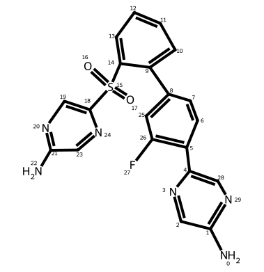 Nc1cnc(-c2ccc(-c3ccccc3S(=O)(=O)c3cnc(N)cn3)cc2F)cn1